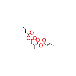 C=C(CC(=O)OC(=O)/C=C/C)C(=O)OC(=O)/C=C/C